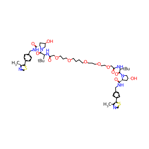 Cc1ncsc1-c1ccc(CNC(=O)[C@@H]2C[C@@H](O)CN2C(=O)C(NC(=O)COCCCOCCCCOCCCOCCOCC(=O)NC(C(=O)N2C[C@H](O)C[C@H]2C(=O)NCc2ccc(-c3scnc3C)cc2)C(C)(C)C)C(C)(C)C)cc1